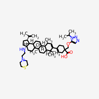 C=C(C)[C@@H]1CC[C@]2(NCCN3CCSCC3)CC[C@]3(C)[C@H](CC[C@@H]4[C@@H]5[C@@H](CC[C@]43C)C(C)(C)C(C3=CCC(COc4cnnn4C(C)C)(C(=O)O)CC3)=C[C@@H]5C)[C@@H]12